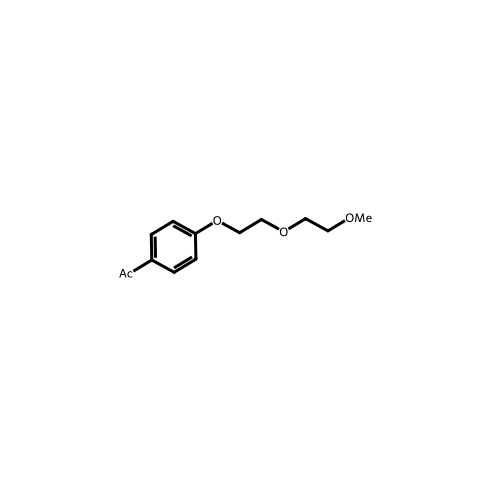 COCCOCCOc1ccc(C(C)=O)cc1